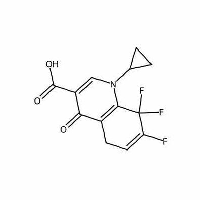 O=C(O)c1cn(C2CC2)c2c(c1=O)CC=C(F)C2(F)F